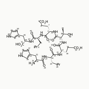 CC(C)C[C@H](NC(=O)[C@H](CCC(=O)O)NC(=O)[C@@H](NC(=O)[C@H](CCC(=O)O)NC(=O)[C@H](CC(C)C)NC(=O)[C@@H](N)Cc1c[nH]cn1)[C@@H](C)O)C(=O)N[C@@H](Cc1c[nH]cn1)C(=O)O